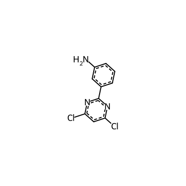 Nc1cccc(-c2nc(Cl)cc(Cl)n2)c1